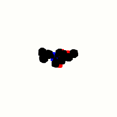 c1ccc(-c2nc(-c3ccc4c5ccccc5c5ccccc5c4c3)nc(-c3cccc4oc5ccc(-c6cccc7oc8c(-c9ccccc9)cccc8c67)cc5c34)n2)cc1